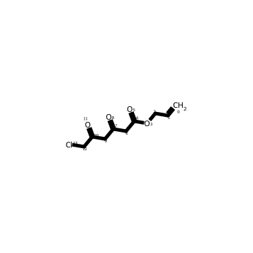 C=CCOC(=O)CC(=O)CC(=O)CCl